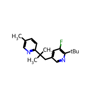 Cc1ccc(C(C)(C)Cc2cnc(C(C)(C)C)c(F)c2)nc1